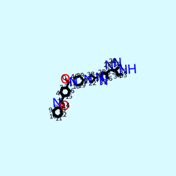 O=C(c1ccc(-c2nc3ccccc3o2)cc1)N1CCC(N2CC(n3cc(-c4ncnc5[nH]ccc45)cn3)C2)CC1